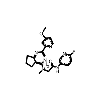 C=C(/N=C1/CCC/C1=C(/N)N(C)CC(=O)Nc1ccc(F)nc1)c1cc(OC)ccn1